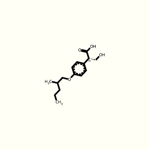 CCCC(C)COc1ccc([C@@H](CO)C(=O)O)cc1